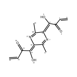 C=CC(=O)C(O)=c1nc(C)c(=C(O)C(=O)C=C)nc1C